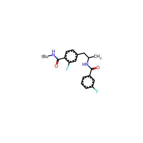 CC(Cc1ccc(C(=O)NC(C)(C)C)c(F)c1)NC(=O)c1cccc(F)c1